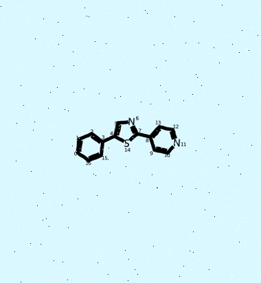 c1ccc(-c2cnc(-c3ccncc3)s2)cc1